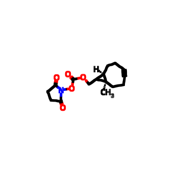 C[C@@]12CCC#CCC[C@@H]1C2COC(=O)ON1C(=O)CCC1=O